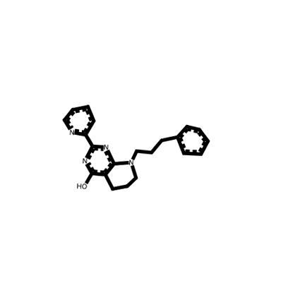 Oc1nc(-c2ccccn2)nc2c1CCCN2CCCc1ccccc1